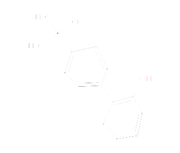 CC(C)(C)c1ccc(-c2ccc[c]c2O)cc1